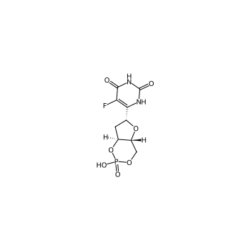 O=c1[nH]c([C@H]2C[C@@H]3OP(=O)(O)OC[C@H]3O2)c(F)c(=O)[nH]1